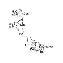 CCCCCCCCCCC(CN(CCCCSC(=O)CCC(=O)SCCCCN(CC(CCCCCCCCCC)O[Si](C)(C)C(C)(C)C)CC(CCCCCCCCCC)O[Si](C)(C)C(C)(C)C)CC(CCCCCCCCCC)O[Si](C)(C)C(C)(C)C)O[Si](C)(C)C(C)(C)C